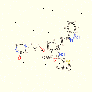 COc1c(OCCCN2CCNC(=O)C2)ccc(/C=C/c2n[nH]c3ccccc23)c1NC(=O)c1sccc1C